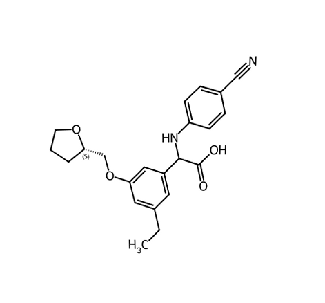 CCc1cc(OC[C@@H]2CCCO2)cc(C(Nc2ccc(C#N)cc2)C(=O)O)c1